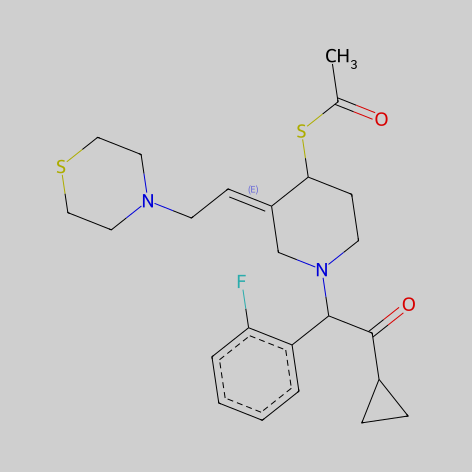 CC(=O)SC1CCN(C(C(=O)C2CC2)c2ccccc2F)C/C1=C\CN1CCSCC1